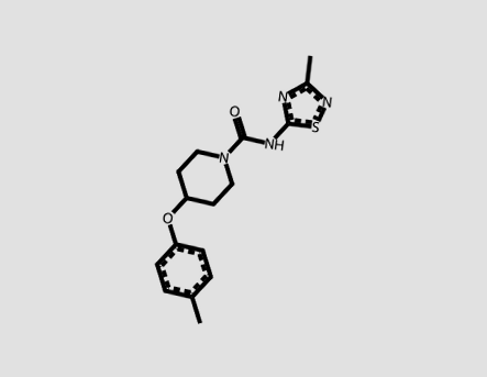 Cc1ccc(OC2CCN(C(=O)Nc3nc(C)ns3)CC2)cc1